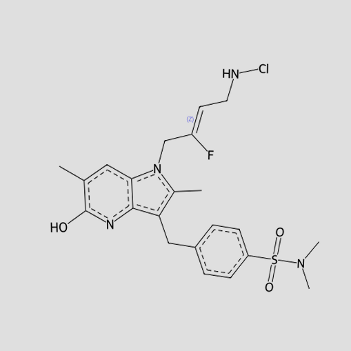 Cc1cc2c(nc1O)c(Cc1ccc(S(=O)(=O)N(C)C)cc1)c(C)n2C/C(F)=C/CNCl